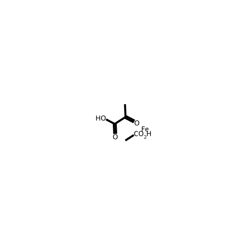 CC(=O)C(=O)O.CC(=O)O.[Fe]